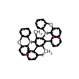 Cc1c(-c2ccccc2F)c(N2c3ccccc3Oc3ccccc32)c(C)c(N2c3ccccc3Oc3ccccc32)c1-c1ccccc1F